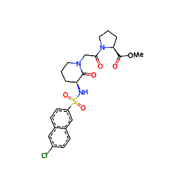 COC(=O)[C@@H]1CCCN1C(=O)CN1CCC[C@H](NS(=O)(=O)c2ccc3cc(Cl)ccc3c2)C1=O